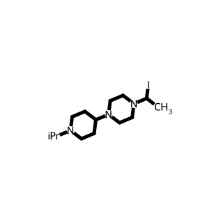 CC(C)N1CCC(N2CCN(C(C)I)CC2)CC1